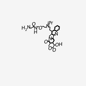 CC(C)N(CCOCNC(=O)CN)CCc1c2c(nc3ccccc13)-c1cc3c(c(=O)n1C2)COC(=O)C3O